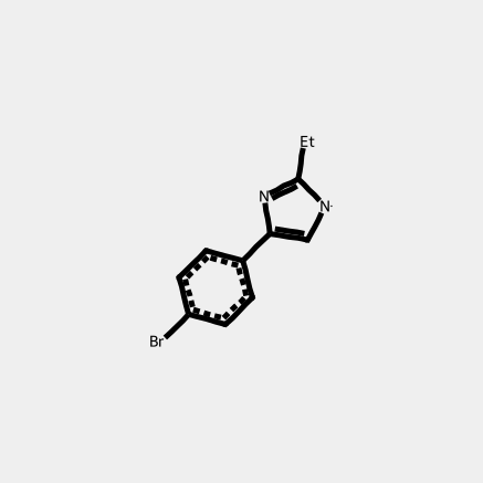 CCC1=NC(c2ccc(Br)cc2)=C[N]1